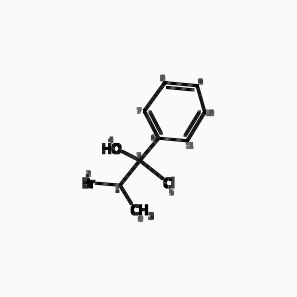 CC(Br)C(O)(Cl)c1ccccc1